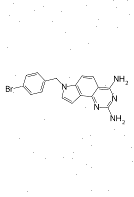 Nc1nc(N)c2ccc3c(ccn3Cc3ccc(Br)cc3)c2n1